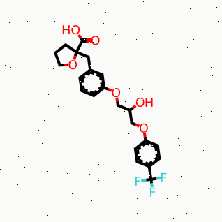 O=C(O)C1(Cc2cccc(OCC(O)COc3ccc(C(F)(F)F)cc3)c2)CCCO1